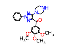 COc1cc(C(=O)c2nn(-c3ccccc3)nc2N2CCNCC2)cc(OC)c1OC